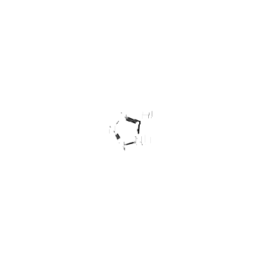 I.c1nnn[nH]1